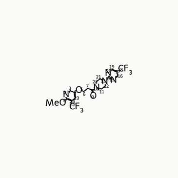 COc1ncc(OCCC(=O)N2CCN(c3ncc(C(F)(F)F)cn3)CC2)cc1C(F)(F)F